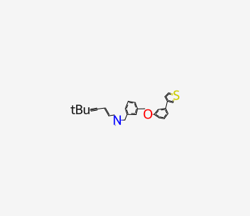 CN(C/C=C/C#CC(C)(C)C)Cc1cccc(COc2cccc(-c3ccsc3)c2)c1